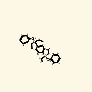 CC[Si](CC)(Oc1ccccc1)c1ccc([Si](CC)(CC)Oc2ccccc2)cc1